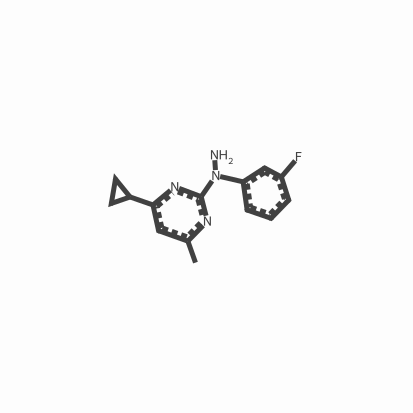 Cc1cc(C2CC2)nc(N(N)c2cccc(F)c2)n1